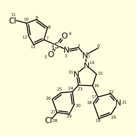 CN(C=NS(=O)(=O)c1ccc(Cl)cc1)N1CC(c2cccnc2)C(c2ccc(Cl)cc2)=N1